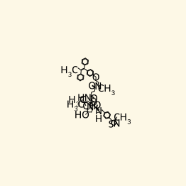 CC/C(=C(\c1ccccc1)c1ccc(OCCN(C)C(=O)CCC(=O)N[C@H](C(=O)N2C[C@H](O)C[C@H]2C(=O)NCc2ccc(-c3scnc3C)cc2)C(C)(C)C)cc1)c1ccccc1